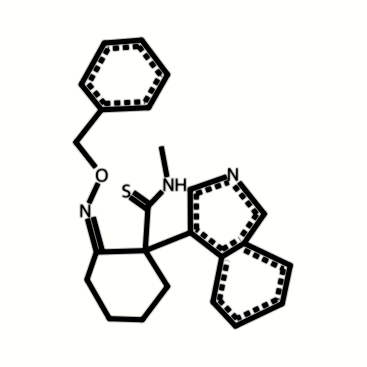 CNC(=S)C1(c2cncc3ccccc23)CCCC/C1=N/OCc1ccccc1